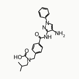 CC(C)CN(Cc1ccc(C(=O)Nc2nn(-c3ccccc3)cc2N)cc1)C(=O)O